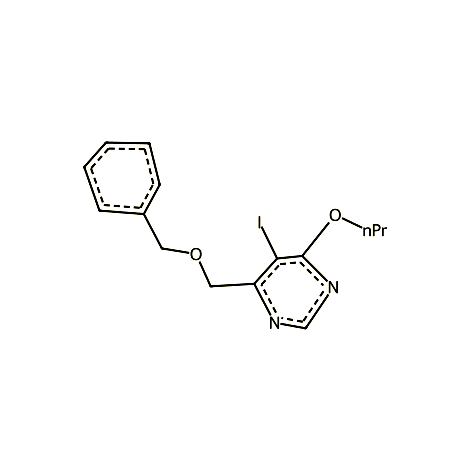 CCCOc1ncnc(COCc2ccccc2)c1I